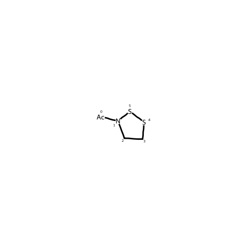 CC(=O)N1CCSS1